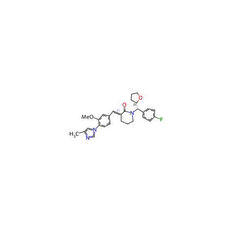 COc1cc(/C=C2\CCCN(C(c3ccc(F)cc3)[C@@H]3CCCO3)C2=O)ccc1-n1cnc(C)c1